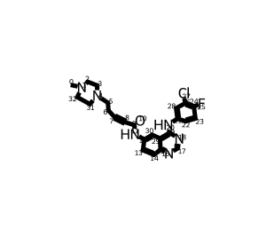 CN1CCN(CCC#CC(=O)Nc2ccc3ncnc(Nc4ccc(F)c(Cl)c4)c3c2)CC1